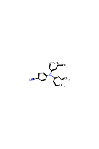 C=C/C=C(\C=C/C)N(C(/C=C\C)=C/C=C)c1ccc(C#N)cc1